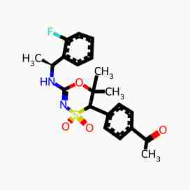 CC(=O)c1ccc(C2C(C)(C)OC(N[C@@H](C)c3ccccc3F)=NS2(=O)=O)cc1